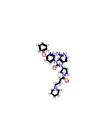 Nc1nccc2c1n(-c1ccc(Oc3ccccc3)cc1)c(=O)n2C1CCN(C(=O)/C=C/CN2CCCCC2)C1